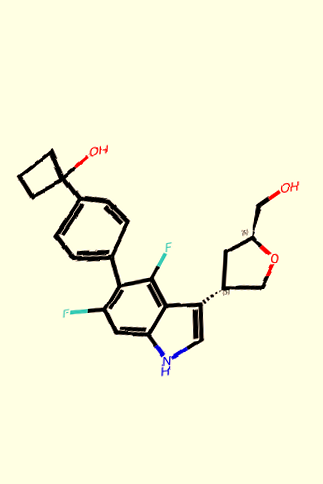 OC[C@@H]1C[C@@H](c2c[nH]c3cc(F)c(-c4ccc(C5(O)CCC5)cc4)c(F)c23)CO1